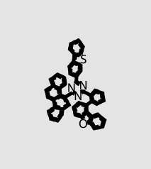 c1ccc(-c2cccc3oc4ccccc4c23)c(-c2nc(-c3ccc4c(c3)sc3ccccc34)nc(-c3cc4ccccc4c4ccc5ccccc5c34)n2)c1